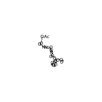 C=CC(=O)OCCOCC(COCCOC(=O)C=C)(COCCOC(=O)C=C)COCCOC(=O)CCN1CCN(C(C)(C)C(=O)c2ccc(N3CCN(CCCC(=O)OCCCCCCOC(C)=O)CC3)cc2)CC1